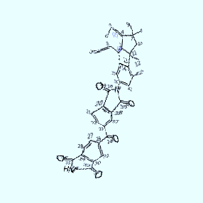 C=C/C=C1\C(=C/C)C(C)(C)CC1(C)c1ccc(N2C(=O)c3ccc(C(=O)c4ccc5c(c4)C(=O)NC5=O)cc3C2=O)cc1